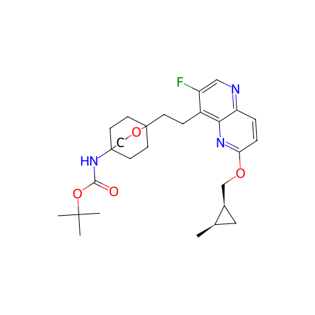 C[C@@H]1C[C@@H]1COc1ccc2ncc(F)c(CCC34CCC(NC(=O)OC(C)(C)C)(CC3)CO4)c2n1